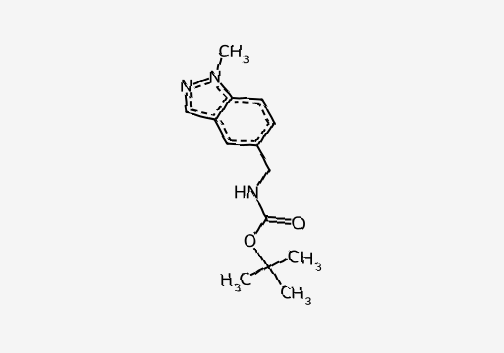 Cn1ncc2cc(CNC(=O)OC(C)(C)C)ccc21